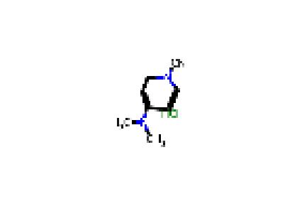 CN(C)C1=CCN(C#N)C=C1.Cl